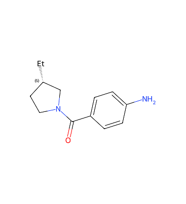 CC[C@H]1CCN(C(=O)c2ccc(N)cc2)C1